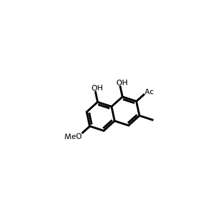 COc1cc(O)c2c(O)c(C(C)=O)c(C)cc2c1